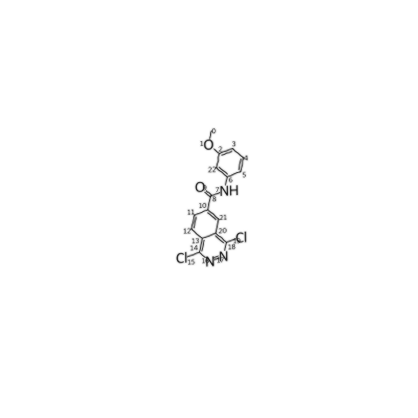 COc1cccc(NC(=O)c2ccc3c(Cl)nnc(Cl)c3c2)c1